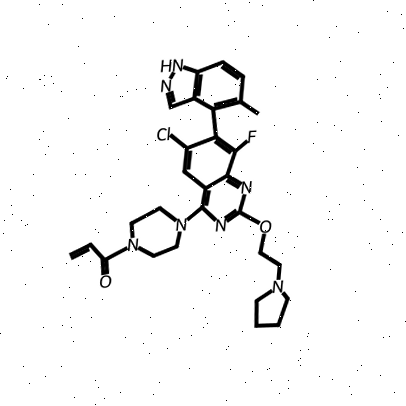 C=CC(=O)N1CCN(c2nc(OCCN3CCCC3)nc3c(F)c(-c4c(C)ccc5[nH]ncc45)c(Cl)cc23)CC1